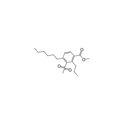 CCCCCCc1ccc(C(=O)OC)c(CCC)c1S(C)(=O)=O